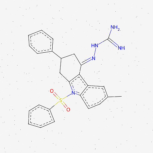 Cc1ccc2c(c1)c1c(n2S(=O)(=O)c2ccccc2)CC(c2ccccc2)CC1=NNC(=N)N